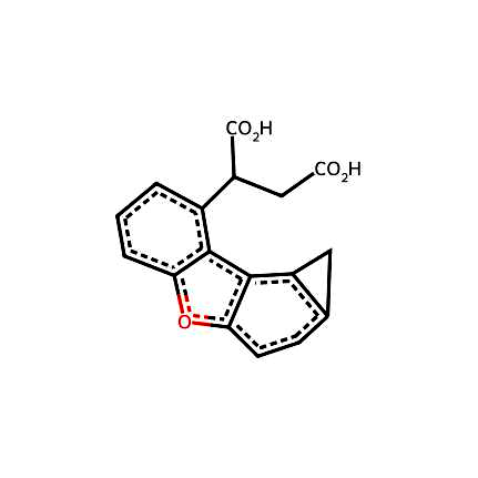 O=C(O)CC(C(=O)O)c1cccc2oc3ccc4c(c3c12)C4